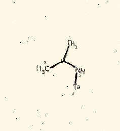 CC(C)[NH][Ta]